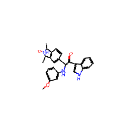 COc1cccc(NC(C(=O)c2c[nH]c3ccccc23)c2ccc3c(c2)C(C)[NH+]([O-])C3C)c1